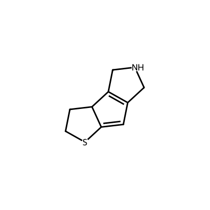 C1=C2SCCC2C2=C1CNC2